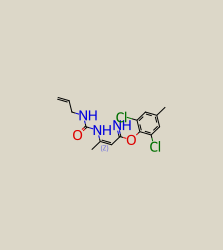 C=CCNC(=O)N/C(C)=C\C(=N)Oc1c(Cl)cc(C)cc1Cl